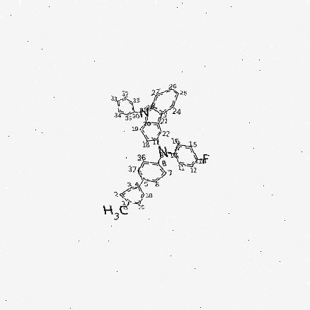 Cc1ccc(-c2ccc(N(c3ccc(F)cc3)c3ccc4c(c3)c3ccccc3n4-c3ccccc3)cc2)cc1